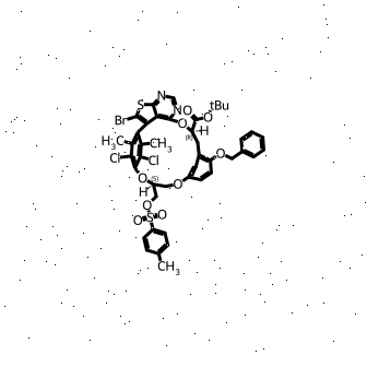 Cc1ccc(S(=O)(=O)OC[C@@H]2COc3ccc(OCc4ccccc4)c(c3)C[C@H](C(=O)OC(C)(C)C)Oc3ncnc4sc(Br)c(c34)-c3c(C)c(Cl)c(c(Cl)c3C)O2)cc1